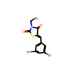 CC(C)CN1C(=O)S/C(=C\c2cc(Br)cc(Br)c2)C1=O